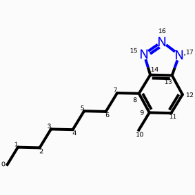 CCCCCCCCc1c(C)ccc2c1N=N[N]2